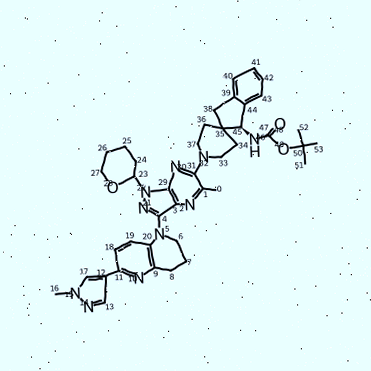 Cc1nc2c(N3CCCc4nc(-c5cnn(C)c5)ccc43)nn(C3CCCCO3)c2nc1N1CCC2(CC1)Cc1ccccc1[C@H]2NC(=O)OC(C)(C)C